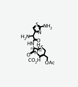 CC(=O)OCC1=C(C(=O)O)N2C(=O)[C@H](NC(=O)C(N)c3csc(N)n3)[C@@H]2SC1